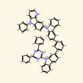 c1ccc(-c2nc(-c3ccccc3)nc(-n3c4ccccc4c4ccc(-c5cccc(-c6ccc7c(c6)c6ccccc6n7-c6ccc7c(c6)c6ncccc6n7-c6ccccc6)c5)cc43)n2)cc1